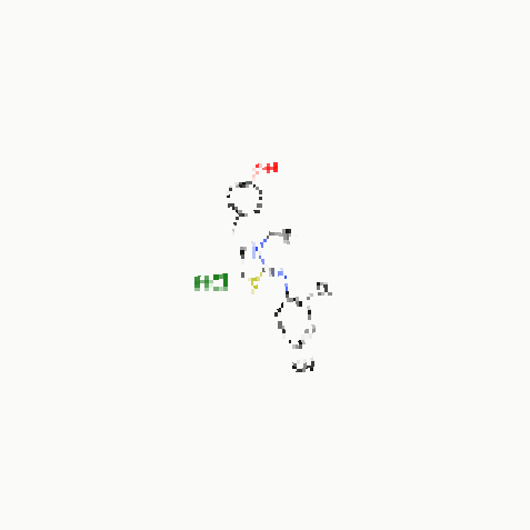 CCc1cc(C#N)ccc1N=C1SC[C@H](Cc2ccc(O)cc2)N1CC(C)C.Cl